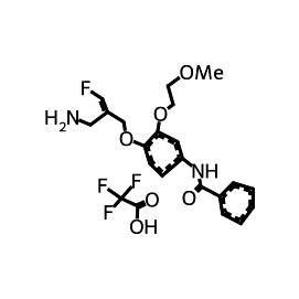 COCCOc1cc(NC(=O)c2ccccc2)ccc1OC/C(=C/F)CN.O=C(O)C(F)(F)F